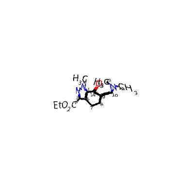 CCOC(=O)c1nn(C)c2c1CC/C(=C/N(C)C)C2=O